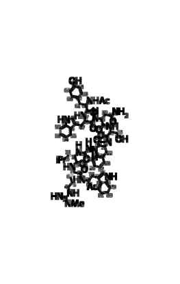 CNC(=N)NCCC[C@H](NC(=O)[C@H](CC(C)C)NC(=O)NNC(=O)[C@H](Cc1ccccc1)NC(=O)[C@H](CO)NC(=O)[C@H](CC(N)=O)NC(=O)[C@@H](Cc1c[nH]c2ccccc12)NC(=O)[C@@H](Cc1ccc(O)cc1)NC(C)=O)C(=O)N[C@@H](Cc1c[nH]c2ccccc12)C(C)=O